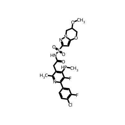 COC1COc2cc(S(=O)(=O)NC(=O)Cc3c(C)nc(-c4ccc(Cl)c(F)c4)c(F)c3PC)nn2C1